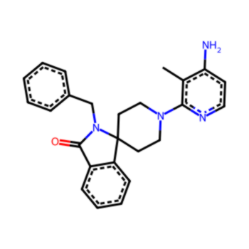 Cc1c(N)ccnc1N1CCC2(CC1)c1ccccc1C(=O)N2Cc1ccccc1